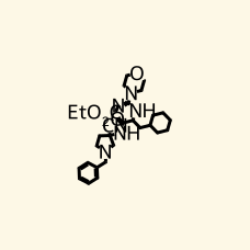 CCOC(=O)/N=C(\NC(CC1CCCCC1)C(=O)NC1(C#N)CCN(Cc2ccccc2)C1)N1CCOCC1